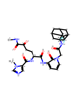 CCNC(=O)C(=O)CC[C@H](NC(=O)c1cncn1C)C(=O)Nc1cccn(CC(=O)NC23CC4CC(C2)C(F)(F)C(C4)C3)c1=O